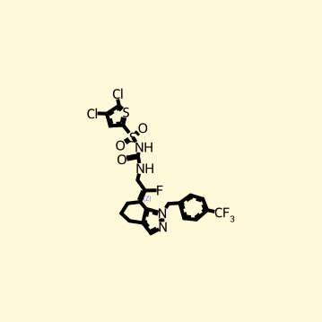 O=C(NC/C(F)=C1\CCCc2cnn(Cc3ccc(C(F)(F)F)cc3)c21)NS(=O)(=O)c1cc(Cl)c(Cl)s1